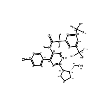 CN(C(=O)C(C)(C)c1cc(C(F)(F)F)cc(C(F)(F)F)c1)c1cnc(N2CCC[C@H]2CO)cc1-c1ccc(Cl)cc1